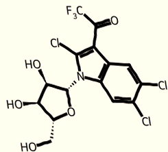 O=C(c1c(Cl)n([C@@H]2O[C@H](CO)[C@@H](O)[C@H]2O)c2cc(Cl)c(Cl)cc12)C(F)(F)F